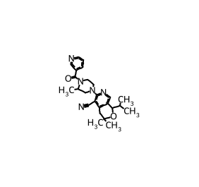 CC(C)C1OC(C)(C)Cc2c1cnc(N1CCN(C(=O)c3cccnc3)C(C)C1)c2C#N